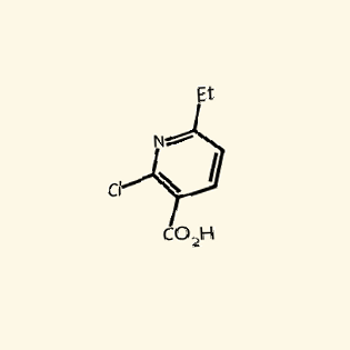 CCc1ccc(C(=O)O)c(Cl)n1